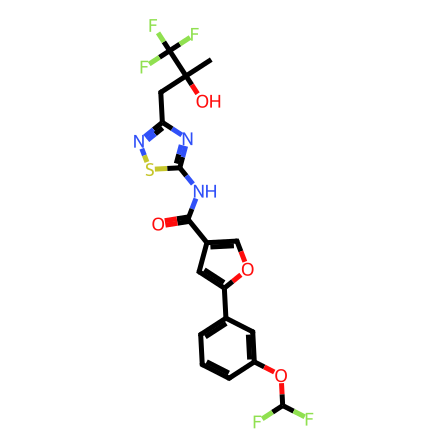 CC(O)(Cc1nsc(NC(=O)c2coc(-c3cccc(OC(F)F)c3)c2)n1)C(F)(F)F